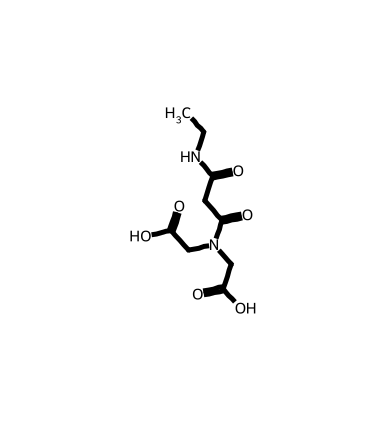 CCNC(=O)CC(=O)N(CC(=O)O)CC(=O)O